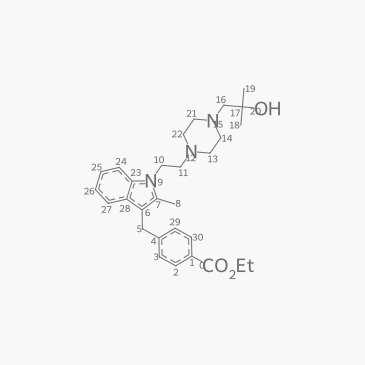 CCOC(=O)c1ccc(Cc2c(C)n(CCN3CCN(CC(C)(C)O)CC3)c3ccccc23)cc1